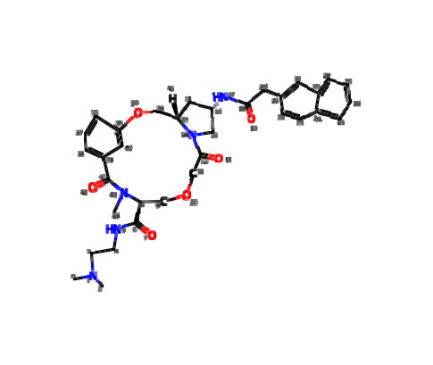 CN(C)CCNC(=O)[C@@H]1COCC(=O)N2C[C@@H](NC(=O)Cc3ccc4ccccc4c3)C[C@H]2COc2cccc(c2)C(=O)N1C